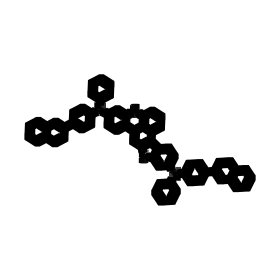 c1ccc(N(c2ccc(-c3ccc4ccccc4c3)cc2)c2ccc3c(c2)Sc2cccc4c2c-3cc2sc3cc(N(c5ccccc5)c5ccc(-c6ccc7ccccc7c6)cc5)ccc3c24)cc1